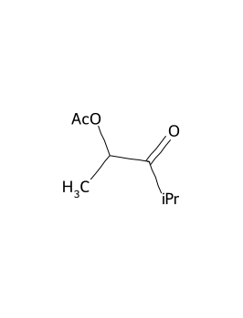 CC(=O)OC(C)C(=O)C(C)C